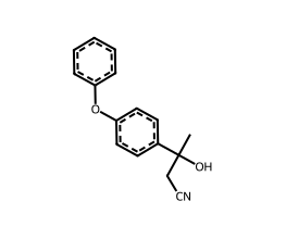 CC(O)(CC#N)c1ccc(Oc2ccccc2)cc1